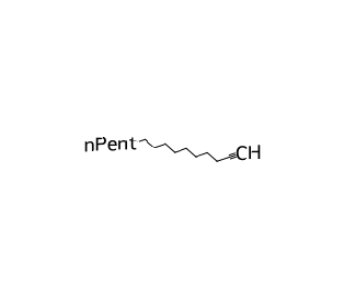 C#CCCCCCCCCCCCC[CH2]